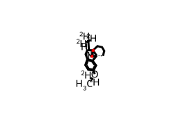 [2H]C([2H])(C)Oc1ccc2c(c1)[C@]13CCCC[C@@H]1[C@H](C2)N(C([2H])([2H])[2H])CC3